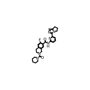 O=C(Nc1cccc(-c2nnc3n2CCC3)n1)c1cc2c(cc1F)CCN(C(=O)N1CCCCC1)C2